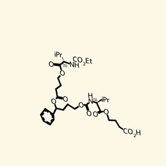 CCOC(=O)N[C@H](C(=O)OCCCC(=O)OC(CCCOC(=O)N[C@H](C(=O)OCCCC(=O)O)C(C)C)c1ccccc1)C(C)C